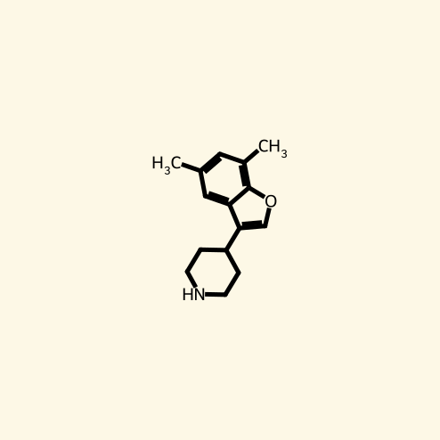 Cc1cc(C)c2occ(C3CCNCC3)c2c1